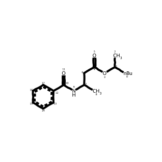 CCCCC(C)OC(=O)CC(C)NC(=O)c1ccccc1